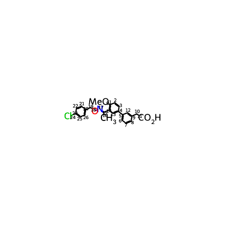 COc1ccc(-c2cccc(CC(=O)O)c2)cc1C(C)=NOCc1ccc(Cl)cc1